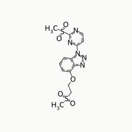 CS(=O)(=O)CCOc1cccc2c1nnn2-c1ccnc(S(C)(=O)=O)n1